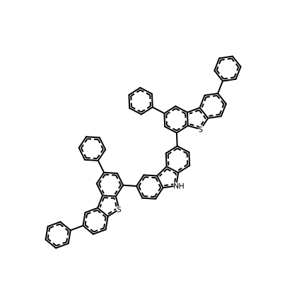 c1ccc(-c2ccc3sc4c(-c5ccc6[nH]c7ccc(-c8cc(-c9ccccc9)cc9c8sc8ccc(-c%10ccccc%10)cc89)cc7c6c5)cc(-c5ccccc5)cc4c3c2)cc1